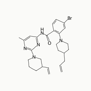 C=CCC1CCN(c2cc(Br)ccc2C(=O)Nc2cc(C)nc(N3CCCC(C=C)C3)n2)CC1